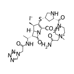 CC(NC(=O)Cn1cnnn1)[C@H]1C(=O)N2C(C(=O)O)=C(S[C@@H]3CN[C@H](C(=O)N4CC[N+](C)(CC(N)=O)CC4)C3)[C@H](C)[C@H]12.[I-]